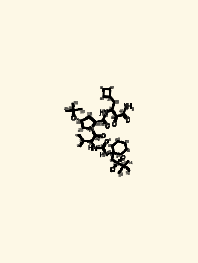 CC(C)[C@H](NC(=O)NC1(CS(=O)(=O)C(C)(C)C)CCCCC1)C(=O)N1C[C@H](OC(C)(C)C)C[C@H]1C(=O)NC(CC1CCC1)C(=O)C(N)=O